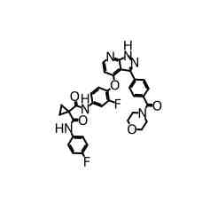 O=C(c1ccc(-c2n[nH]c3nccc(Oc4ccc(NC(=O)C5(C(=O)Nc6ccc(F)cc6)CC5)cc4F)c23)cc1)N1CCOCC1